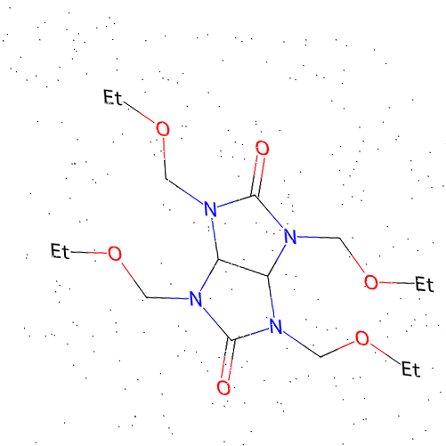 CCOCN1C(=O)N(COCC)C2C1N(COCC)C(=O)N2COCC